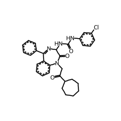 O=C(Nc1cccc(Cl)c1)NC1N=C(c2ccccc2)c2ccccc2N(CC(=O)C2CCCCCC2)C1=O